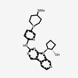 CNC1CCN(c2ccc(Nc3ncc4c5ccncc5n([C@H]5CCC[C@@H]5O)c4n3)nc2)CC1